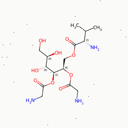 CC(C)[C@H](N)C(=O)OC[C@@H](OC(=O)CN)[C@@H](OC(=O)CN)[C@H](O)[C@H](O)CO